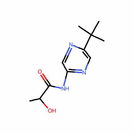 CC(O)C(=O)Nc1cnc(C(C)(C)C)cn1